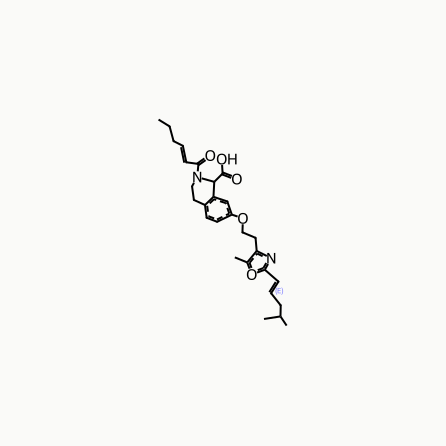 CCCC=CC(=O)N1CCc2ccc(OCCc3nc(/C=C/CC(C)C)oc3C)cc2C1C(=O)O